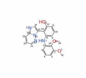 COc1cccc(Nc2cccc(O)c2-c2cnc3cccnn23)c1OC